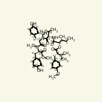 CC[C@@H](C)[C@H](OC(=O)[C@@H](Cc1ccc(OC)cc1)N(C)C)C(=O)N[C@H](C(=O)N(C)[C@@H](Cc1ccc(O)cc1)C(=O)N(C)[C@H](Cc1ccc(O)cc1)C(=O)OC)C(C)C